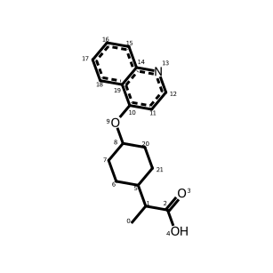 CC(C(=O)O)C1CCC(Oc2ccnc3ccccc23)CC1